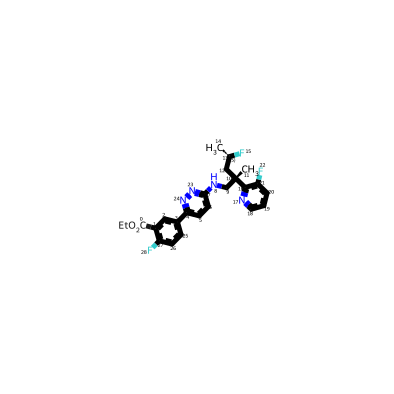 CCOC(=O)c1cc(-c2ccc(NC[C@](C)(C[C@H](C)F)c3ncccc3F)nn2)ccc1F